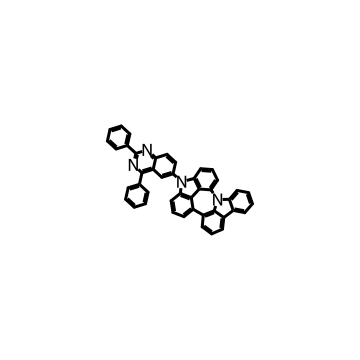 c1ccc(-c2nc(-c3ccccc3)c3cc(-n4c5cccc6c7cccc8c9ccccc9n(c9cccc4c9c65)c78)ccc3n2)cc1